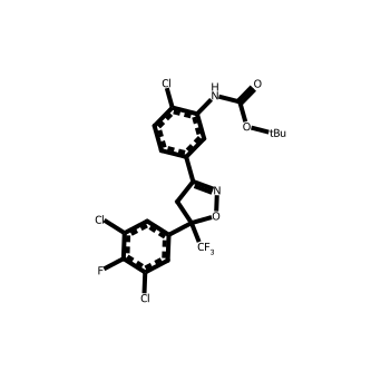 CC(C)(C)OC(=O)Nc1cc(C2=NOC(c3cc(Cl)c(F)c(Cl)c3)(C(F)(F)F)C2)ccc1Cl